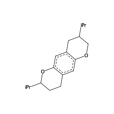 CC(C)C1COc2cc3c(cc2C1)OC(C(C)C)CC3